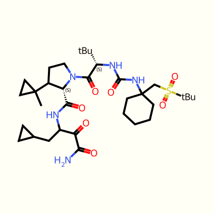 CC1(C2CCN(C(=O)[C@@H](NC(=O)NC3(CS(=O)(=O)C(C)(C)C)CCCCC3)C(C)(C)C)[C@@H]2C(=O)NC(CC2CC2)C(=O)C(N)=O)CC1